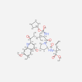 C=CC1CC1(NC(=O)[C@@H]1C[C@H](Oc2cc(C(=O)CC)nc3cc(OC)c(C)cc23)CN1C(=O)C(NC(=O)OC1CCCC1)C(C)(C)C)C(=O)OC